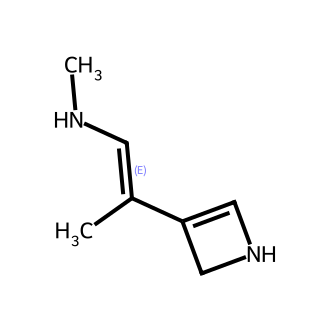 CN/C=C(\C)C1=CNC1